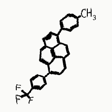 Cc1ccc(-c2ccc3ccc4c(-c5ccc(C(F)(F)F)cc5)ccc5ccc2c3c54)cc1